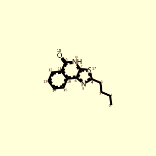 CCCCc1nc2c([nH]c(=O)c3ccccc32)s1